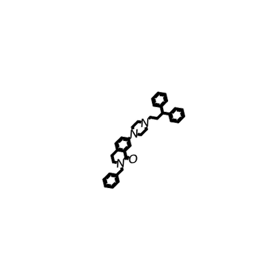 O=C1c2cc(N3CCN(CCC(c4ccccc4)c4ccccc4)CC3)ccc2CCN1Cc1ccccc1